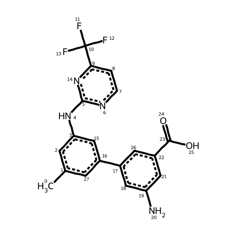 Cc1cc(Nc2nccc(C(F)(F)F)n2)cc(-c2cc(N)cc(C(=O)O)c2)c1